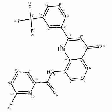 O=C(Nc1cccc2c(=O)cc(-c3cccc(C(F)(F)F)c3)[nH]c12)c1cccc(F)n1